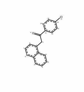 O=C(Cc1ccnc2ccccc12)c1ccc(Cl)cn1